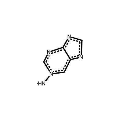 [NH]n1cnc2ncnc-2c1